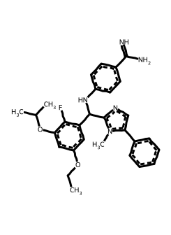 CCOc1cc(OC(C)C)c(F)c(C(Nc2ccc(C(=N)N)cc2)c2ncc(-c3ccccc3)n2C)c1